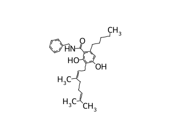 CCCCCc1cc(O)c(CC=C(C)CCC=C(C)C)c(O)c1C(=O)NCc1ccccc1